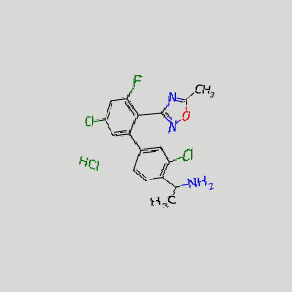 Cc1nc(-c2c(F)cc(Cl)cc2-c2ccc(C(C)N)c(Cl)c2)no1.Cl